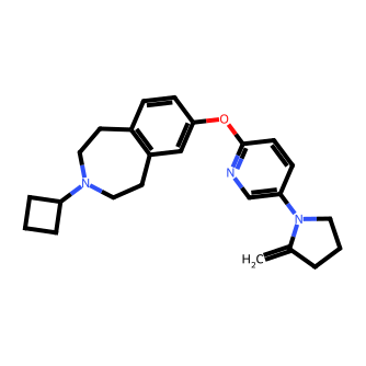 C=C1CCCN1c1ccc(Oc2ccc3c(c2)CCN(C2CCC2)CC3)nc1